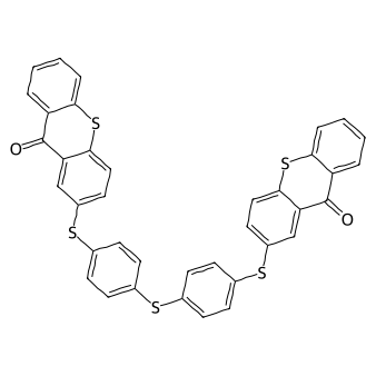 O=c1c2ccccc2sc2ccc(Sc3ccc(Sc4ccc(Sc5ccc6sc7ccccc7c(=O)c6c5)cc4)cc3)cc12